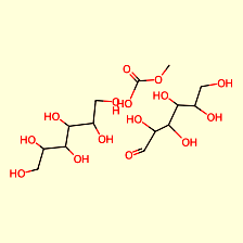 COC(=O)O.O=CC(O)C(O)C(O)C(O)CO.OCC(O)C(O)C(O)C(O)CO